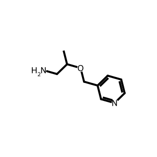 CC(CN)OCc1cccnc1